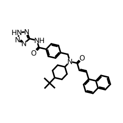 CC(C)(C)C1CCC(N(Cc2ccc(C(=O)Nc3nn[nH]n3)cc2)C(=O)/C=C/c2cccc3ccccc23)CC1